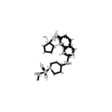 CNS(=O)(=O)N1CCC(Nc2ncc3ccc(=O)n([C@@H]4CCC[C@@]4(C)O)c3n2)CC1